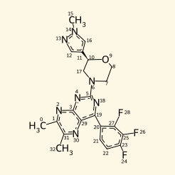 Cc1nc2nc(N3CCO[C@H](c4cnn(C)c4)C3)nc(-c3ccc(F)c(F)c3F)c2nc1C